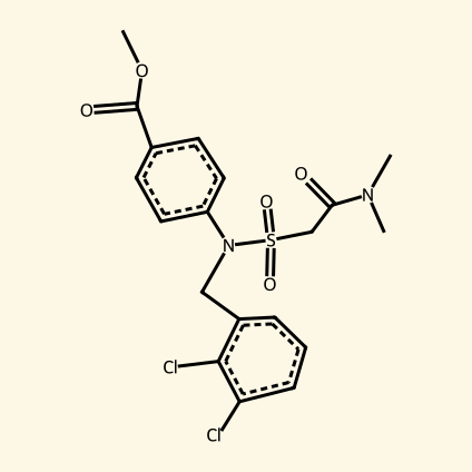 COC(=O)c1ccc(N(Cc2cccc(Cl)c2Cl)S(=O)(=O)CC(=O)N(C)C)cc1